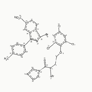 CCCN(CCOc1c(Cl)cc(Cl)cc1Cl)C(=O)n1ccnc1.Cc1ccc(-n2nc(Br)c3ccc(C(=O)O)cc32)cc1